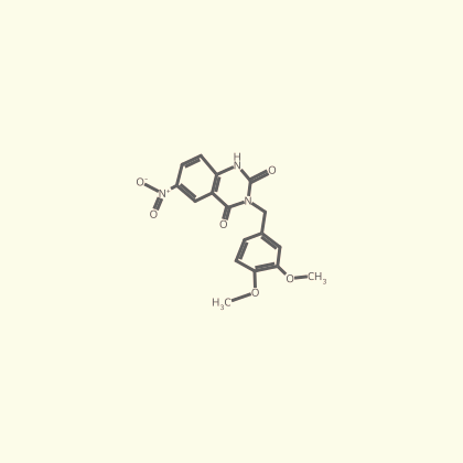 COc1ccc(Cn2c(=O)[nH]c3ccc([N+](=O)[O-])cc3c2=O)cc1OC